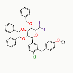 CCOc1ccc(Cc2cc([C@@H]3OC(C(I)I)[C@@H](OCc4ccccc4)[C@H](OCc4ccccc4)[C@H]3OCc3ccccc3)ccc2Cl)cc1